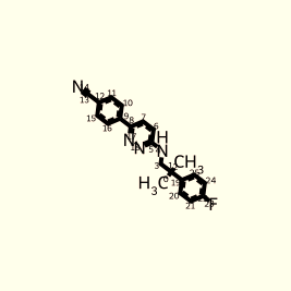 CC(C)(CNc1ccc(-c2ccc(C#N)cc2)nn1)c1ccc(F)cc1